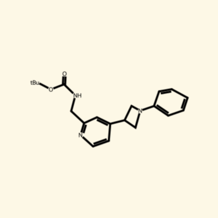 CC(C)(C)OC(=O)NCc1cc(C2CN(c3ccccc3)C2)ccn1